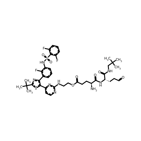 CC(C)(C)CNC(=O)[C@H](CCC=O)NC(=O)[C@@H](N)CCC(=O)OCCNc1nccc(-c2sc(C(C)(C)C)nc2-c2cccc(NS(=O)(=O)c3c(F)cccc3F)c2F)n1